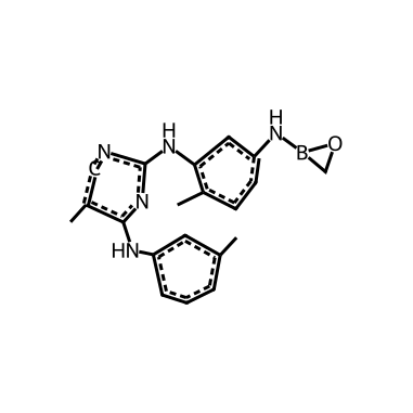 Cc1cccc(Nc2nc(Nc3cc(NB4CO4)ccc3C)ncc2C)c1